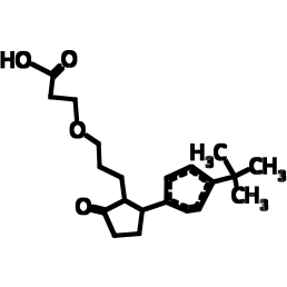 CC(C)(C)c1ccc(C2CCC(=O)C2CCCOCCC(=O)O)cc1